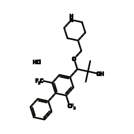 CC(C)(O)C(OCC1CCNCC1)c1cc(C(F)(F)F)c(-c2ccccc2)c(C(F)(F)F)c1.Cl